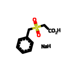 O=C(O)CS(=O)(=O)Cc1ccccc1.[NaH]